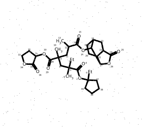 CCC1(OC(=O)C(C)(CC)CC(C)(CC(C)C(=O)OC2C3CCC4C(C3)C(=O)OC42)C(=O)OC2CCOC2=O)CCCC1